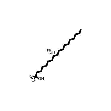 CCCCCCCCCCCCCCCCCC1(O)OO1.[LiH].[Ni]